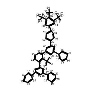 CC(C)(C)c1c(-c2cc(-c3ccccc3)cc(-c3ccccc3)c2)cccc1-c1cc(-c2ccccc2)cc(-c2ccc(-c3cc(C(F)(F)F)c(C(C)(C)C)c(C(F)(F)F)c3)cc2)c1